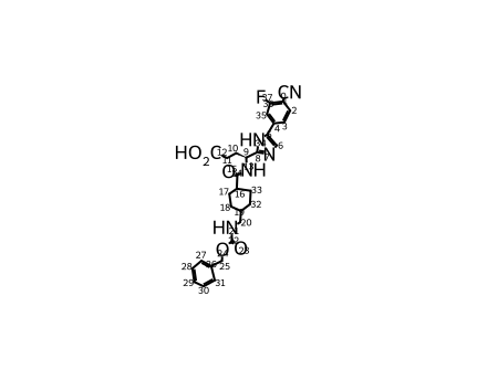 N#Cc1ccc(-c2cnc([C@H](CCC(=O)O)NC(=O)C3CCC(CNC(=O)OCc4ccccc4)CC3)[nH]2)cc1F